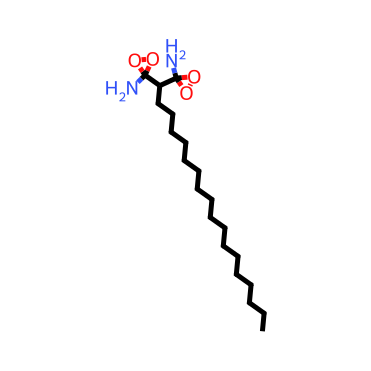 CCCCCCCCCCCCCCCCCC(C1(N)OO1)C1(N)OO1